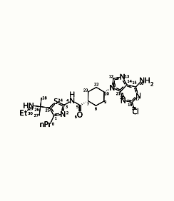 CCCc1nc(NC(=O)[C@H]2CC[C@@H](n3cnc4c(N)nc(Cl)nc43)CC2)sc1C(C)(C)NCC